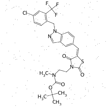 CN(CCN1C(=O)SC(=Cc2ccc3c(cnn3Cc3ccc(Cl)cc3C(F)(F)F)c2)C1=O)C(=O)OC(C)(C)C